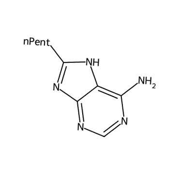 CCCCCc1nc2ncnc(N)c2[nH]1